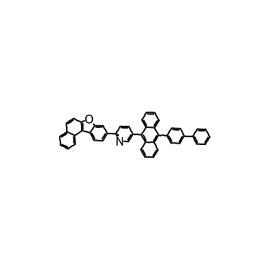 c1ccc(-c2ccc(-c3c4ccccc4c(-c4ccc(-c5ccc6c(c5)oc5ccc7ccccc7c56)nc4)c4ccccc34)cc2)cc1